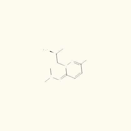 CN[C@@H](C)Cn1nc(Cl)cc/c1=N/N(C)C